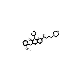 Cc1ccccc1Cc1cc2cnc(NCCCN3CCOCC3)nc2n(C2CCCC2)c1=O